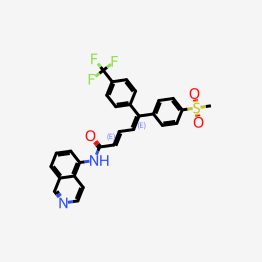 CS(=O)(=O)c1ccc(/C(=C/C=C/C(=O)Nc2cccc3cnccc23)c2ccc(C(F)(F)F)cc2)cc1